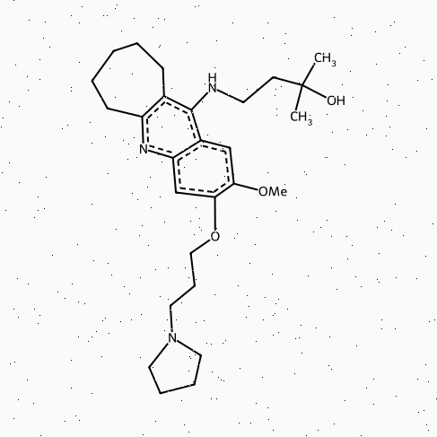 COc1cc2c(NCCC(C)(C)O)c3c(nc2cc1OCCCN1CCCC1)CCCCC3